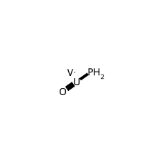 [O]=[U][PH2].[V]